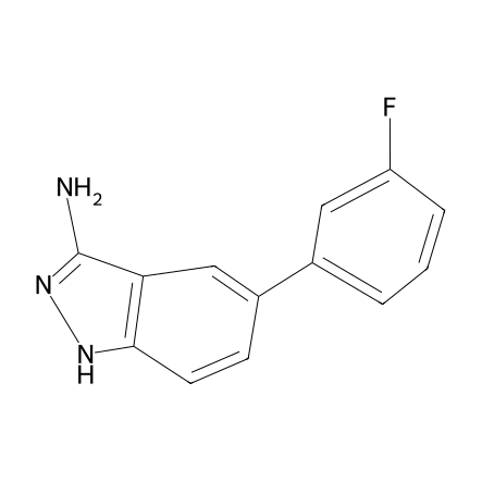 Nc1n[nH]c2ccc(-c3cccc(F)c3)cc12